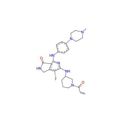 C=CC(=O)N1CCCC(Nc2nc(Nc3ccc(N4CCN(C)CC4)cc3)c3c(c2F)CNC3=O)C1